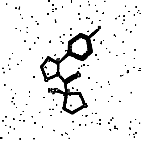 C[C@]1(C(=O)N2OCC[C@H]2c2ccc(F)cc2)CCOC1